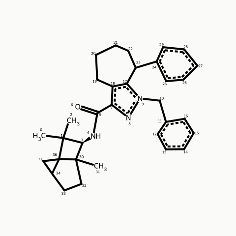 CC1(C)[C@@H](NC(=O)c2nn(Cc3ccccc3)c3c2CCCCC3c2ccccc2)C2(C)CCC3CC312